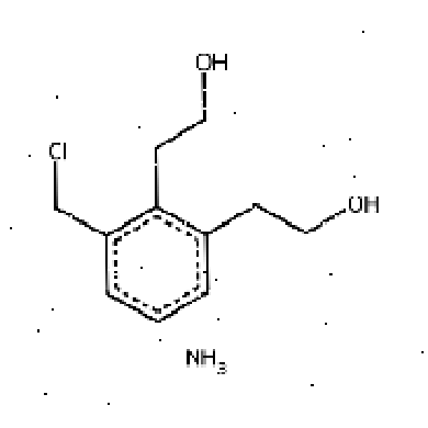 N.OCCc1cccc(CCl)c1CCO